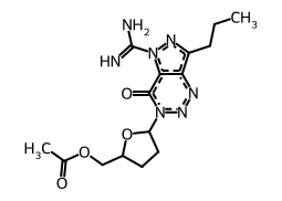 CCCc1nn(C(=N)N)c2c(=O)n(C3CCC(COC(C)=O)O3)nnc12